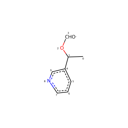 CC(O[C]=O)c1cccnc1